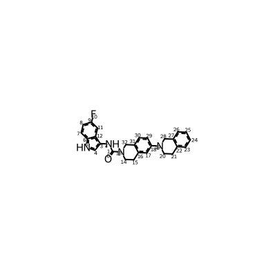 O=C(Nc1c[nH]c2ccc(F)cc12)N1CCc2cc(N3CCc4ccccc4C3)ccc2C1